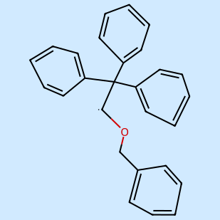 [CH](OCc1ccccc1)C(c1ccccc1)(c1ccccc1)c1ccccc1